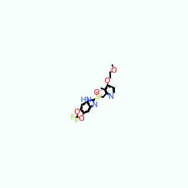 COCCOc1ccnc(C[S+]([O-])c2nc3cc4c(cc3[nH]2)OC(F)(F)O4)c1C